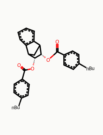 CCCCc1ccc(C(=O)O[C@@H]2C3CC(c4ccccc43)[C@@H]2OC(=O)c2ccc(CCCC)cc2)cc1